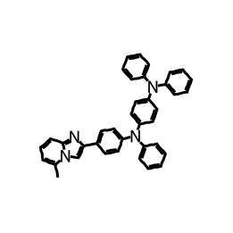 Cc1cccc2nc(-c3ccc(N(c4ccccc4)c4ccc(N(c5ccccc5)c5ccccc5)cc4)cc3)cn12